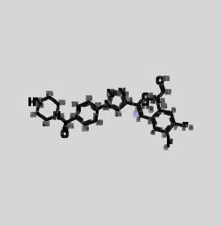 C/C(=C\c1cc(F)c(F)cc1NC=O)c1cn(-c2ccc(C(=O)N3CCNCC3)cc2)nn1